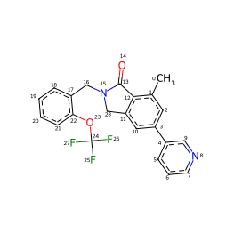 Cc1cc(-c2cccnc2)cc2c1C(=O)N(Cc1ccccc1OC(F)(F)F)C2